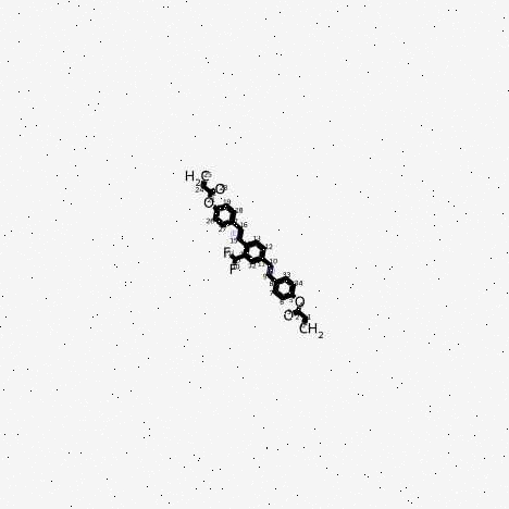 C=CC(=O)Oc1ccc(/C=C/c2ccc(/C=C/c3ccc(OC(=O)C=C)cc3)c(C(F)F)c2)cc1